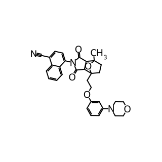 CC12CCC(CCOc3cccc(N4CCOCC4)c3)(O1)C1C(=O)N(c3ccc(C#N)c4ccccc34)C(=O)C12